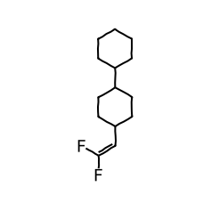 FC(F)=CC1CCC(C2CCCCC2)CC1